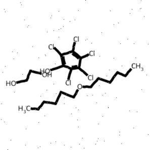 CCCCCCOCCCCCC.OCCO.Oc1c(Cl)c(Cl)c(Cl)c(Cl)c1Cl